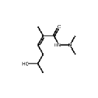 CC(=CCC(C)O)C(=O)NN(C)C